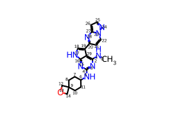 CNc1nc(NC2CCC3(CC2)COC3)nc2[nH]cc(-c3ccn4nccc4n3)c12